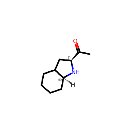 CC(=O)[C@@H]1CC2CCCC[C@@H]2N1